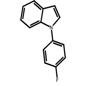 Fc1ccc(-n2ccc3cc[c]cc32)cc1